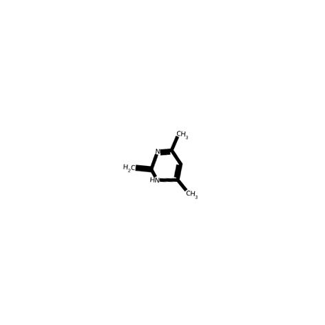 C=C1N=C(C)C=C(C)N1